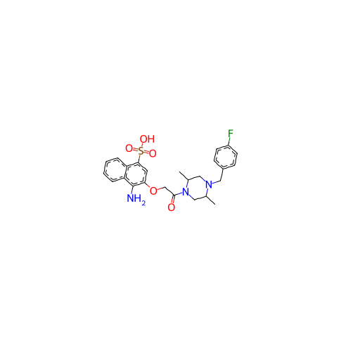 CC1CN(C(=O)COc2cc(S(=O)(=O)O)c3ccccc3c2N)C(C)CN1Cc1ccc(F)cc1